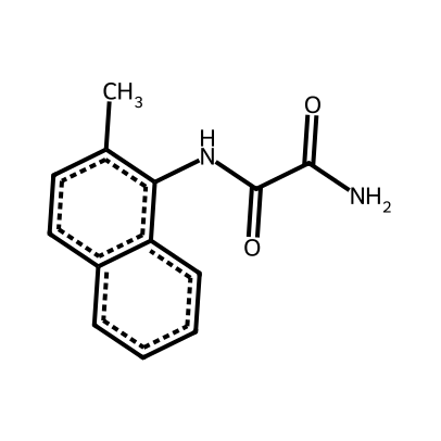 Cc1ccc2ccccc2c1NC(=O)C(N)=O